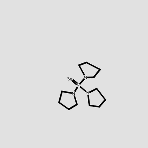 [Se]=P(N1CCCC1)(N1CCCC1)N1CCCC1